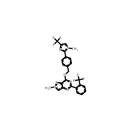 Cn1cc2nc(-c3ccccc3C(F)(F)F)nc(OCc3ccc(-c4nc(C(F)(F)F)cn4C)cc3)c2n1